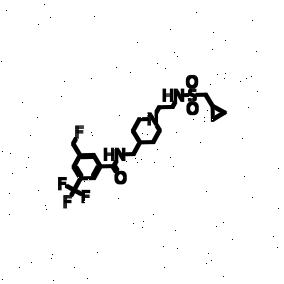 O=C(NCC1CCN(CCNS(=O)(=O)CC2CC2)CC1)c1cc(CF)cc(C(F)(F)F)c1